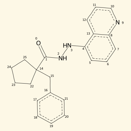 O=C(NNc1cccc2ncccc12)C1(Cc2ccccc2)CCCC1